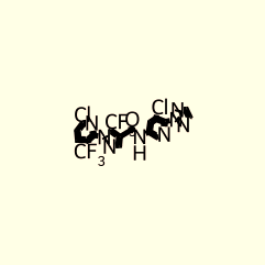 O=C(Nc1cnc(-n2nccn2)c(Cl)c1)c1cnn(-c2nc(Cl)ccc2C(F)(F)F)c1C(F)(F)F